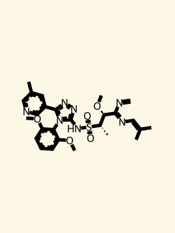 C=N/C(=N\C=C(C)C)[C@@H](OC)[C@H](C)S(=O)(=O)Nc1nnc(-c2cncc(C)c2)n1-c1c(OC)cccc1OC